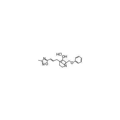 Cc1noc(C=CCC23CCN(CC2)C(COc2ccccc2)C3O)n1.Cl